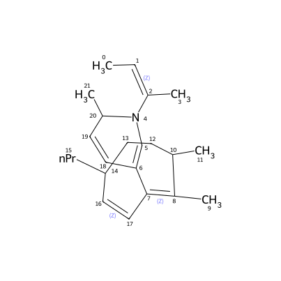 C/C=C(/C)N1C=C(C2=C(/C)C(C)CCC(CCC)/C=C\2)C=CC1C